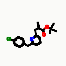 C=C(Cc1cccc(Cc2ccc(Cl)cc2)n1)C(=O)OC(C)(C)C